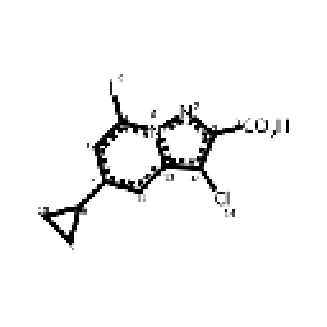 O=C(O)c1nn2c(I)cc(C3CC3)cc2c1Cl